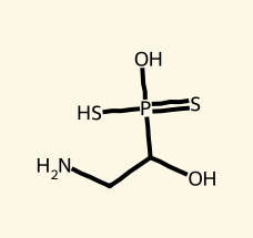 NCC(O)P(O)(=S)S